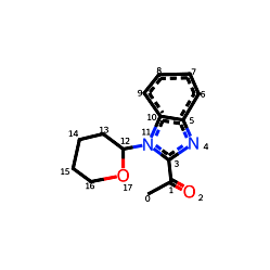 CC(=O)c1nc2ccccc2n1C1CCCCO1